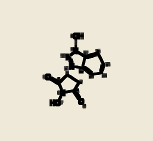 O=C1CCC(=O)N1O.On1nnc2ccccc21